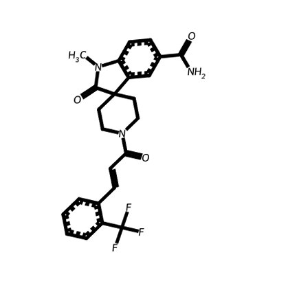 CN1C(=O)C2(CCN(C(=O)C=Cc3ccccc3C(F)(F)F)CC2)c2cc(C(N)=O)ccc21